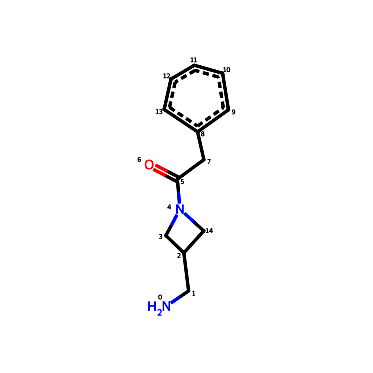 NCC1CN(C(=O)Cc2ccccc2)C1